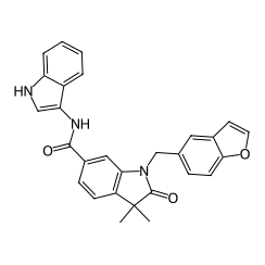 CC1(C)C(=O)N(Cc2ccc3occc3c2)c2cc(C(=O)Nc3c[nH]c4ccccc34)ccc21